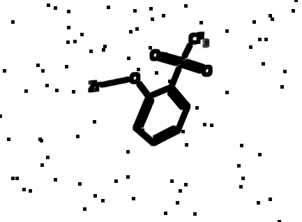 O=S(=O)(c1ccccc1[O][Zr])C(F)(F)F